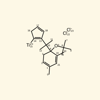 CC1=CCC(OC(C)(C)C)(C(C)(C)C2=[C]([Ti+2])CC=C2)C(C)=C1.[Cl-].[Cl-]